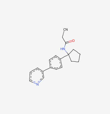 N#CCC(=O)NC1(c2ccc(-c3cccnc3)cc2)CCCC1